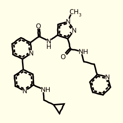 Cn1cc(NC(=O)c2cccc(-c3ccnc(NCC4CC4)c3)n2)c(C(=O)NCCc2ccccn2)n1